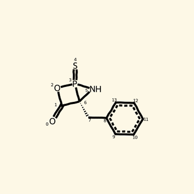 O=C1OP2(=S)N[C@@]12Cc1ccccc1